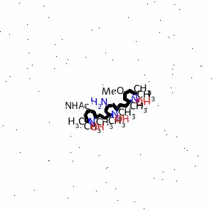 COC1CC(C)(C)N(O)C(C)(CCC2(C)CC(N)CC(C)(CCC3(C)CC(NC(C)=O)CC(C)(C)N3O)N2O)C1